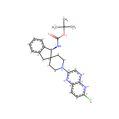 CC(C)(C)OC(=O)N[C@@H]1c2ccccc2CC12CCN(c1cnc3nc(Cl)ccc3n1)CC2